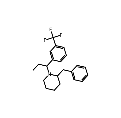 CCC(c1cccc(C(F)(F)F)c1)N1CCCCC1Cc1ccccc1